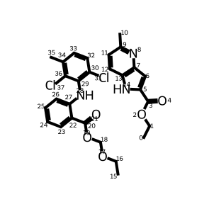 CCOC(=O)c1cc2nc(C)ccc2[nH]1.CCOCOC(=O)c1ccccc1Nc1c(Cl)ccc(C)c1Cl